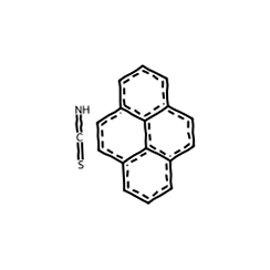 N=C=S.c1cc2ccc3cccc4ccc(c1)c2c34